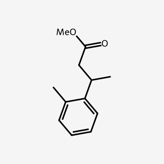 COC(=O)CC(C)c1ccccc1C